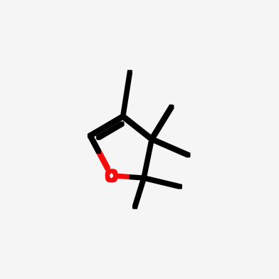 CC1=COC(C)(C)C1(C)C